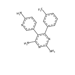 Nc1ccc(-c2c(N)nc(N)nc2-c2cccc(C(F)(F)F)c2)cn1